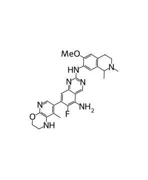 COc1cc2c(cc1Nc1ncc3c(N)c(F)c(-c4cnc5c(c4C)NCCO5)cc3n1)C(C)N(C)CC2